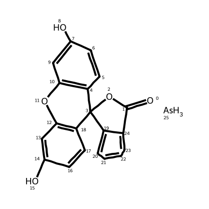 O=C1OC2(c3ccc(O)cc3Oc3cc(O)ccc32)c2ccccc21.[AsH3]